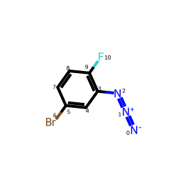 [N-]=[N+]=Nc1cc(Br)ccc1F